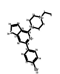 CCN1CCN(c2nc(-c3ccc(Br)cc3)cc3sccc23)CC1